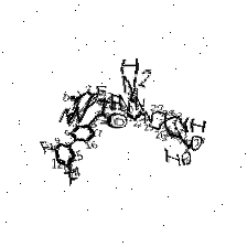 Cc1ccn(-c2cc(-c3cc(F)cc(F)c3)ccc2[C@@H](Oc2cc(N3CCC4(CC3)CNC(C(=O)O)C4)nc(N)n2)C(F)(F)F)n1